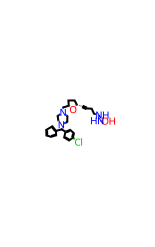 ONNCCC#C[C@H]1CCC(CN2CCN([C@H](c3ccccc3)c3ccc(Cl)cc3)CC2)O1